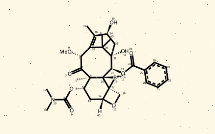 CO[C@H]1C(=O)[C@]2(C)[C@@H](OC(=O)N(C)C)C[C@H]3OC[C@]34B(C(C)=O)[C@@]42[C@H](OC(=O)c2ccccc2)[C@]2(O)C[C@H](O)C(C)=C1C2(C)C